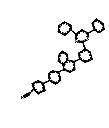 N#Cc1ccc(-c2ccc(-c3ccc(-c4cccc(-c5nc(-c6ccccc6)cc(-c6ccccc6)n5)c4)c4ccccc34)cc2)cc1